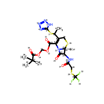 CC(Sc1nnn[nH]1)C1=C(C(=O)OCOC(=O)C(C)(C)C)N2C(=O)C(NC(=O)CSC(F)(F)F)[C@@H]2SC1